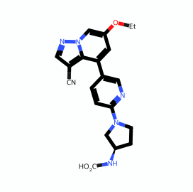 CCOc1cc(-c2ccc(N3CC[C@@H](NC(=O)O)C3)nc2)c2c(C#N)cnn2c1